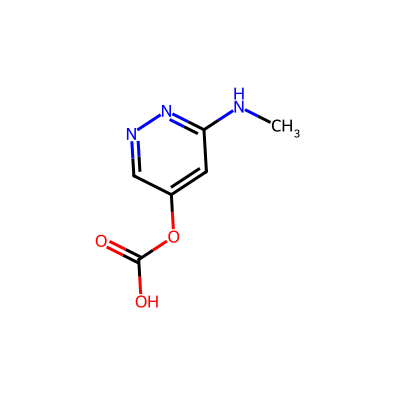 CNc1cc(OC(=O)O)cnn1